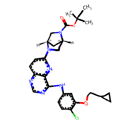 CC(C)(C)OC(=O)N1C[C@@H]2C[C@H]1CN2c1ccc2ncnc(Nc3ccc(Cl)c(OCC4CC4)c3)c2n1